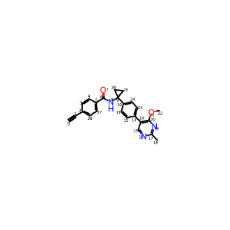 C#Cc1ccc(C(=O)NC2(c3ccc(-c4cnc(C)nc4OC)cc3)CC2)cc1